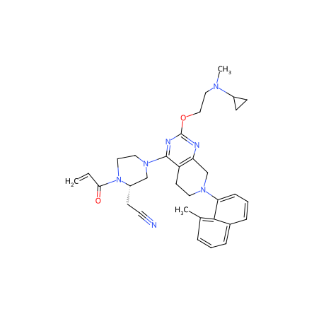 C=CC(=O)N1CCN(c2nc(OCCN(C)C3CC3)nc3c2CCN(c2cccc4cccc(C)c24)C3)C[C@@H]1CC#N